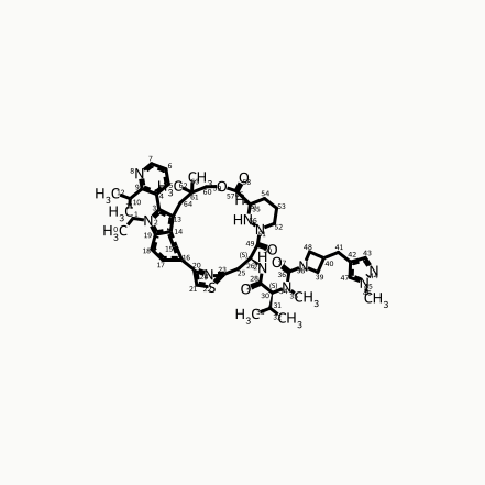 CCn1c(-c2cccnc2C(C)C)c2c3cc(ccc31)-c1csc(n1)C[C@H](NC(=O)[C@H](C(C)C)N(C)C(=O)N1CC(Cc3cnn(C)c3)C1)C(=O)N1CCC[C@H](N1)C(=O)OCC(C)(C)C2